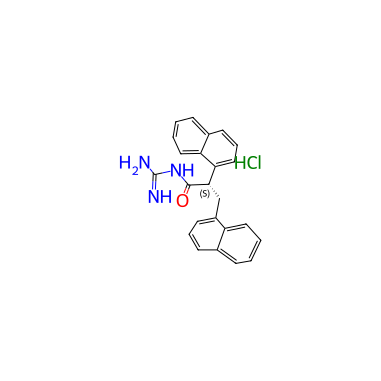 Cl.N=C(N)NC(=O)[C@@H](Cc1cccc2ccccc12)c1cccc2ccccc12